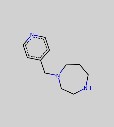 c1cc(CN2CCCNCC2)ccn1